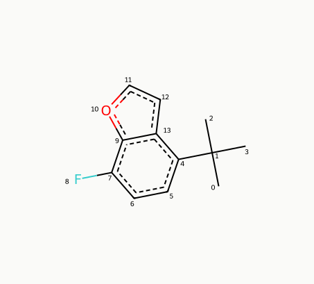 CC(C)(C)c1ccc(F)c2occc12